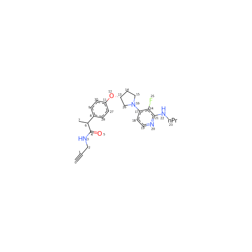 C#CCNC(=O)C(C)c1ccc(O[C@@H]2CCN(c3ccnc(NCCC)c3F)C2)cc1